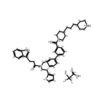 O=C(CCc1c[nH]c2ccccc12)N(CCc1cccs1)Cc1cccc(-c2cccc(C(=O)N3CCC(CCCC4CCNCC4)CC3)c2)c1.O=C(O)C(F)(F)F